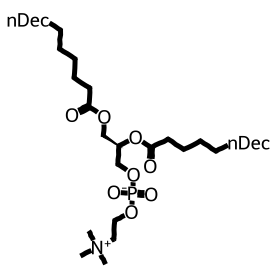 CCCCCCCCCCCCCCCC(=O)OC[C@H](COP(=O)([O-])OCC[N+](C)(C)C)OC(=O)CCCCCCCCCCCCCC